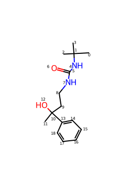 CC(C)(C)NC(=O)NCCC(C)(O)c1ccccc1